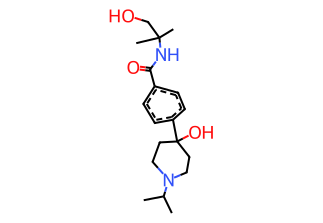 CC(C)N1CCC(O)(c2ccc(C(=O)NC(C)(C)CO)cc2)CC1